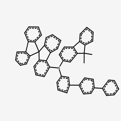 CC1(C)c2ccccc2-c2ccc(N(c3cccc(-c4ccc(-c5ccccc5)cc4)c3)c3cccc4c3-c3ccccc3C43c4ccccc4-c4ccccc43)cc21